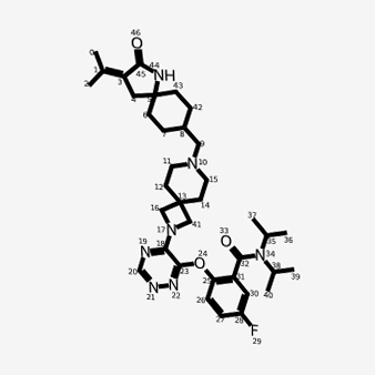 CC(C)=C1CC2(CCC(CN3CCC4(CC3)CN(c3ncnnc3Oc3ccc(F)cc3C(=O)N(C(C)C)C(C)C)C4)CC2)NC1=O